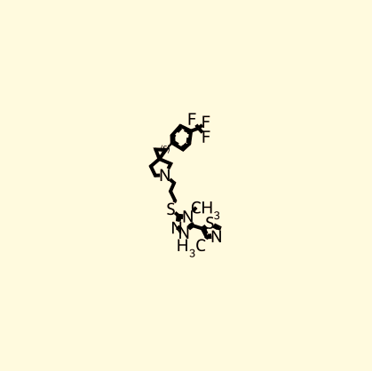 Cc1ncsc1-c1nnc(SCCCN2CCC3(C[C@H]3c3ccc(C(F)(F)F)cc3)C2)n1C